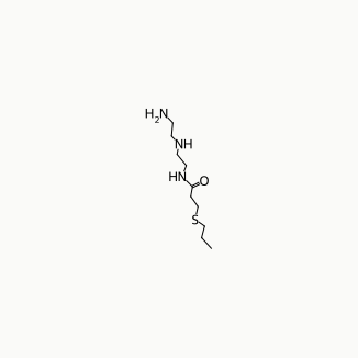 CCCSCCC(=O)NCCNCCN